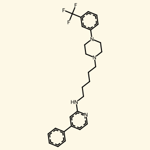 FC(F)(F)c1cccc(N2CCN(CCCCCNc3cc(-c4ccccc4)ccn3)CC2)c1